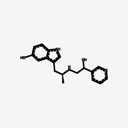 C[C@@H](Cc1c[nH]c2ccc(O)cc12)NCC(O)c1cccnc1